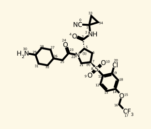 N#CC1(NC(=O)[C@@H]2C[C@@H](S(=O)(=O)c3ccc(OCC(F)(F)F)cc3Cl)CN2C(=O)CC2CCC(N)CC2)CC1